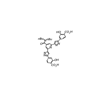 CCCCN(CCCC)C(=O)c1cc(-c2cn(-c3ccc(C(=O)O)c(O)c3)nn2)nc(-c2cn(-c3ccc(C(=O)O)c(O)c3)nn2)c1